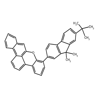 CC(C)(C)c1ccc2c(c1)C(C)(C)c1cc(-c3cccc4c3Oc3cc5ccccc5c5cccc-4c35)ccc1-2